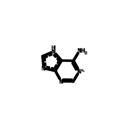 NC1=[N+]C=Nc2nc[nH]c21